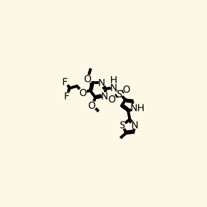 COc1nc(NS(=O)(=O)c2c[nH]c(-c3ncc(C)s3)c2)nc(OC)c1OCC(F)F